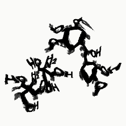 COc1ccc(C[C@@H](O)c2cc(OC)c(OC)c(OC)c2)cc1O.NC(CO)(CO)CO.NC(CO)(CO)CO